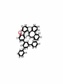 c1ccc(-c2cc(-c3ccccc3)cc(-c3ccc4oc5cccc([C@@H]6CCc7ccccc7-c7ccccc76)c5c4c3)c2)cc1